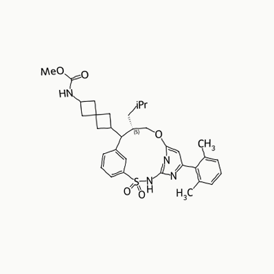 COC(=O)NC1CC2(C1)CC(C1c3cccc(c3)S(=O)(=O)Nc3nc(cc(-c4c(C)cccc4C)n3)OC[C@H]1CC(C)C)C2